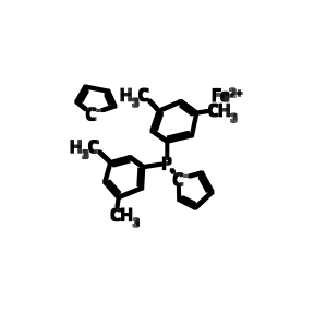 Cc1cc(C)cc(P(c2cc(C)cc(C)c2)[c-]2cccc2)c1.[Fe+2].c1cc[cH-]c1